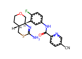 N#Cc1ccc(C(=O)Nc2ccc(F)c([C@]34COCC[C@H]3CSC(N)=N4)c2)nc1